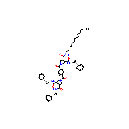 O=C(O)CCCCCCCCCCCNC(=O)C1CN(C(=O)c2ccc(C(=O)N3CC(C(=O)N[C@@H]4C[C@@H]4c4ccccc4)C(C(=O)N[C@@H]4C[C@@H]4c4ccccc4)C3)cc2)CC1C(=O)N[C@@H]1C[C@@H]1c1ccccc1